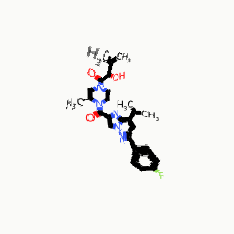 CC(C)c1cc(-c2ccc(F)cc2)nn2cc(C(=O)N3CCN(C(=O)C(O)C(C)C)C[C@H]3C)nc12